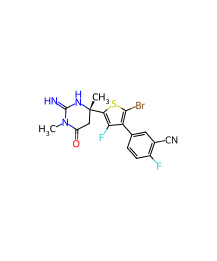 CN1C(=N)N[C@](C)(c2sc(Br)c(-c3ccc(F)c(C#N)c3)c2F)CC1=O